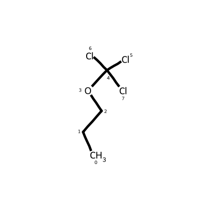 CCCOC(Cl)(Cl)Cl